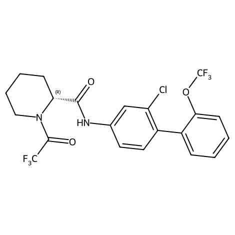 O=C(Nc1ccc(-c2ccccc2OC(F)(F)F)c(Cl)c1)[C@H]1CCCCN1C(=O)C(F)(F)F